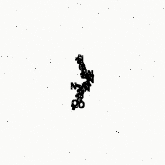 CC(C)(C)OC(=O)N1CC2CC(CC#N)(n3cc(-c4ncnc5c4ccn5COCC[Si](C)(C)C)cn3)CC2C1